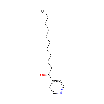 CCCCCCCCCCC(=O)c1ccncc1